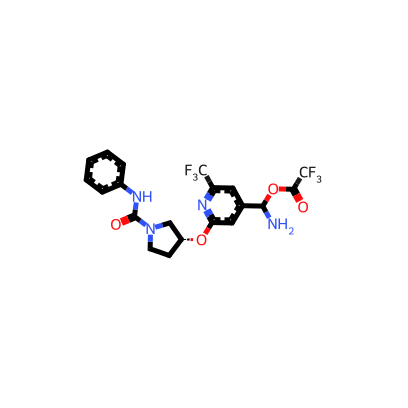 NC(OC(=O)C(F)(F)F)c1cc(O[C@@H]2CCN(C(=O)Nc3ccccc3)C2)nc(C(F)(F)F)c1